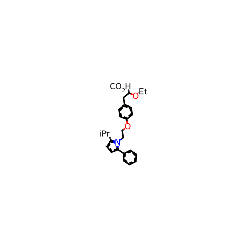 CCOC(Cc1ccc(OCCn2c(-c3ccccc3)ccc2C(C)C)cc1)C(=O)O